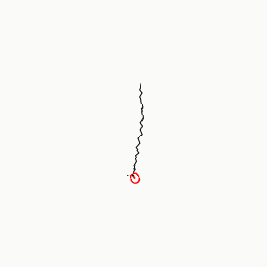 CCCCCCCCCCCCCCCCCCC=C[C]=O